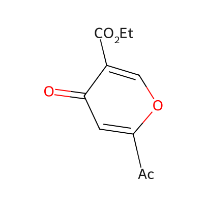 CCOC(=O)c1coc(C(C)=O)cc1=O